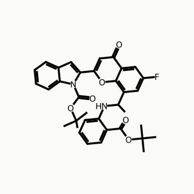 CC(Nc1ccccc1C(=O)OC(C)(C)C)c1cc(F)cc2c(=O)cc(-c3cc4ccccc4n3C(=O)OC(C)(C)C)oc12